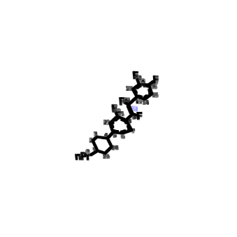 CCCC1CCC(c2ccc(/C(F)=C(\F)c3ccc(F)c(F)c3)c(F)c2)CC1